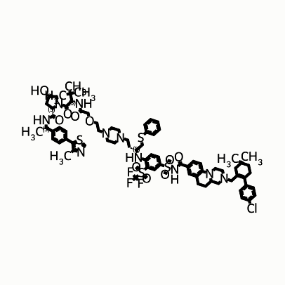 Cc1ncsc1-c1ccc([C@H](C)NC(=O)[C@@H]2C[C@@H](O)CN2C(=O)[C@@H](NC(=O)COCCN2CCN(CC[C@H](CSc3ccccc3)Nc3ccc(S(=O)(=O)NC(=O)c4ccc5c(c4)CCC4CN(CC6=C(c7ccc(Cl)cc7)CCC(C)(C)C6)CCN54)cc3S(=O)(=O)C(F)(F)F)CC2)C(C)(C)C)cc1